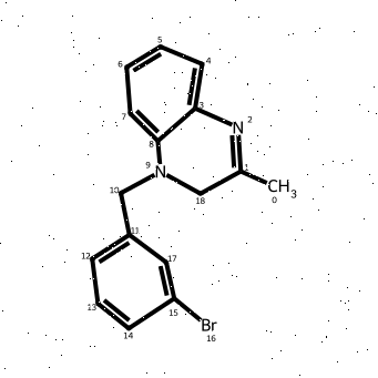 CC1=Nc2ccccc2N(Cc2cccc(Br)c2)C1